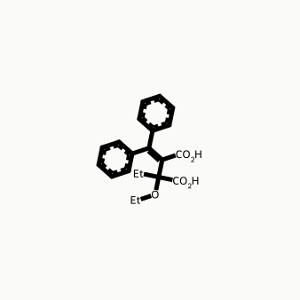 CCOC(CC)(C(=O)O)C(C(=O)O)=C(c1ccccc1)c1ccccc1